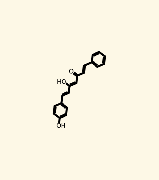 O=C(/C=C(O)/C=C/c1ccc(O)cc1)/C=C/c1ccccc1